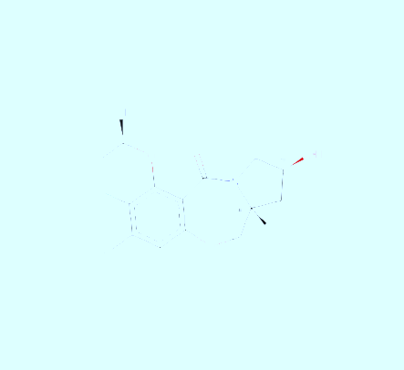 Cc1cc2c(c(O[C@@H](C)C(F)(F)F)c1F)C(=O)N1C[C@@H](O)C[C@@H]1CO2